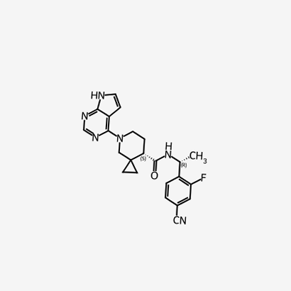 C[C@@H](NC(=O)[C@H]1CCN(c2ncnc3[nH]ccc23)CC12CC2)c1ccc(C#N)cc1F